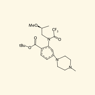 CO[C@@H](C)CN(C(=O)C(F)(F)F)c1cc(N2CCN(C)CC2)ccc1C(=O)OC(C)(C)C